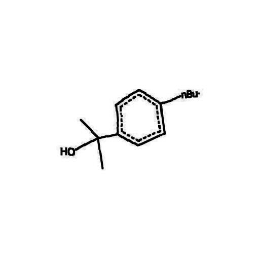 CCC[CH]c1ccc(C(C)(C)O)cc1